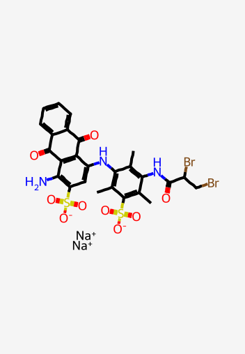 Cc1c(NC(=O)C(Br)CBr)c(C)c(S(=O)(=O)[O-])c(C)c1Nc1cc(S(=O)(=O)[O-])c(N)c2c1C(=O)c1ccccc1C2=O.[Na+].[Na+]